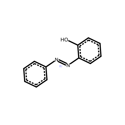 Oc1ccccc1/N=N/c1ccccc1